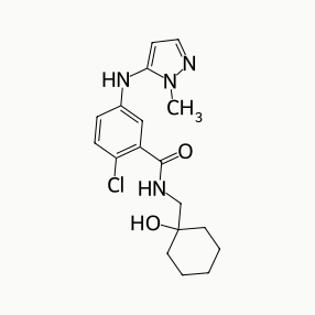 Cn1nccc1Nc1ccc(Cl)c(C(=O)NCC2(O)CCCCC2)c1